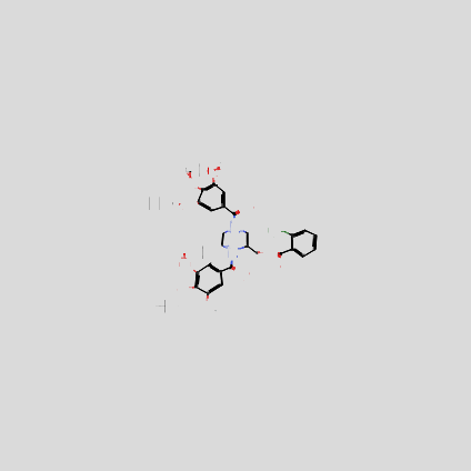 COc1cc(C(=O)N2CCN(C(=O)c3cc(OC)c(OC)c(OC)c3)C(COC(=O)c3ccccc3Cl)C2)cc(OC)c1OC